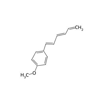 C=CC=CC=Cc1ccc(OC)cc1